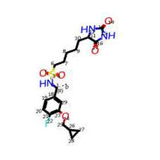 C[C@@H](NS(=O)(=O)CCCCCC1NC(=O)NC1=O)c1ccc(F)c(OCC2CC2)c1